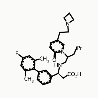 Cc1cc(F)cc(C)c1-c1cccc([C@H](CC(=O)O)NCC(CC(C)C)n2cc(CCN3CCC3)ccc2=O)c1